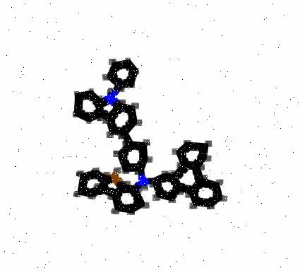 c1ccc(-n2c3ccccc3c3cc(-c4ccc(N(c5ccc6c7ccccc7c7ccccc7c6c5)c5cccc6c5sc5ccccc56)cc4)ccc32)cc1